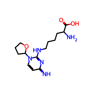 N=c1ccn(C2CCCO2)c(NCCCCC(N)C(=O)O)n1